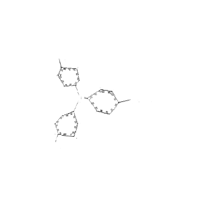 FC(F)(F)c1cc[c]([Bi+2]([c]2ccc(C(F)(F)F)cc2)[c]2ccc(C(F)(F)F)cc2)cc1.[Cl-].[Cl-]